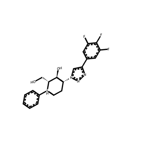 OC[C@@H]1[C@@H](O)[C@H](n2cc(-c3cc(F)c(F)c(F)c3)nn2)CC[SH]1c1ccccc1